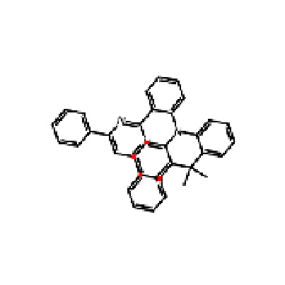 CC1(C)c2ccccc2N(c2ccccc2-c2nc(-c3ccccc3)cc(-c3ccccn3)n2)c2ccccc21